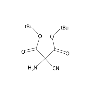 CC(C)(C)OC(=O)C(N)(C#N)C(=O)OC(C)(C)C